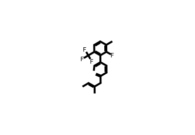 C=C(/C=C\C(=C/C)c1c(C(F)(F)F)ccc(C)c1F)C/C(C)=C/C